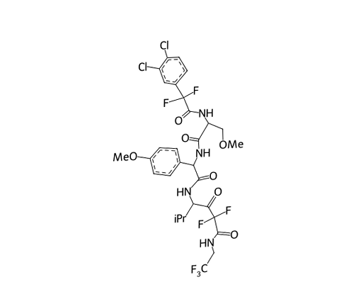 COCC(NC(=O)C(F)(F)c1ccc(Cl)c(Cl)c1)C(=O)NC(C(=O)NC(C(=O)C(F)(F)C(=O)NCC(F)(F)F)C(C)C)c1ccc(OC)cc1